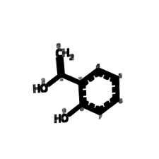 C=C(O)c1ccccc1O